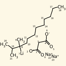 O=C([O-])CC(=O)[O-].[Li][C](C)(CCCCCCCCC)C(C)C.[Na+].[Na+]